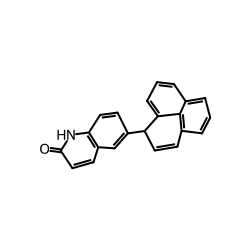 O=c1ccc2cc(C3C=Cc4cccc5cccc3c45)ccc2[nH]1